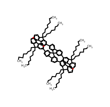 CCCCCCCCC1(CCCCCCCC)c2ccccc2-c2ccc(-c3ccc4c(c3)C3(c5cc(-c6ccc7c(c6)C(CCCCCCCC)(CCCCCCCC)c6ccccc6-7)ccc5-4)c4cc(-c5ccc6c(c5)C(CCCCCCCC)(CCCCCCCC)c5ccccc5-6)ccc4-c4ccc(-c5ccc6c(c5)C(CCCCCCCC)(CCCCCCCC)c5ccccc5-6)cc43)cc21